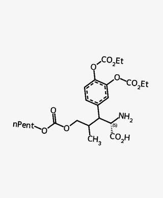 CCCCCOC(=O)OCC(C)C(c1ccc(OC(=O)OCC)c(OC(=O)OCC)c1)[C@H](N)C(=O)O